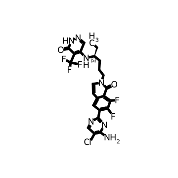 CC[C@@H](CCCn1ccc2cc(-c3ncc(Cl)c(N)n3)c(F)c(F)c2c1=O)Nc1cn[nH]c(=O)c1C(F)(F)F